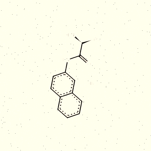 Br.CC[C@H](C)[C@H](N)C(=O)Nc1ccc2ccccc2c1